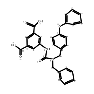 O=C(O)c1cc(NC(=O)N(Cc2ccccc2)Cc2ccc(Oc3ccccc3)cc2)cc(C(=O)O)c1